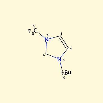 CCCCN1C=CN(C(F)(F)F)C1